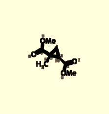 COC(=O)[C@@H]1C[C@@]1(C)C(=O)OC